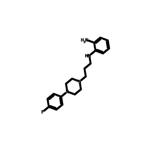 Nc1ccccc1NCCCN1CCN(c2ccc(F)cc2)CC1